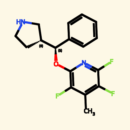 Cc1c(F)c(F)nc(O[C@H](c2ccccc2)[C@@H]2CCNC2)c1F